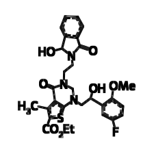 CCOC(=O)c1sc2c(c1C)C(=O)N(CCN1C(=O)c3ccccc3C1O)CN2CC(O)c1cc(F)ccc1OC